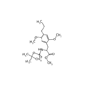 CCCc1cc(OC)c(CC(NC(=O)OC(C)(C)C)C(=O)OC)cc1OC